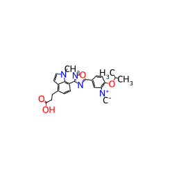 [C-]#[N+]c1cc(-c2nc(-c3ccc(CCC(=O)O)c4ccn(C)c34)no2)ccc1OC(C)C